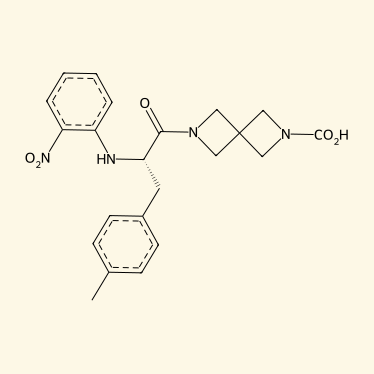 Cc1ccc(C[C@H](Nc2ccccc2[N+](=O)[O-])C(=O)N2CC3(CN(C(=O)O)C3)C2)cc1